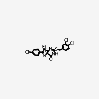 CCn1c(-c2ccc(Cl)cc2)nc2c(=O)[nH]c(SCc3ccc(Cl)c(Cl)c3)nc21